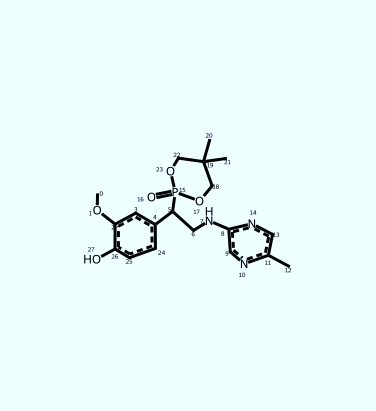 COc1cc(C(CNc2cnc(C)cn2)P2(=O)OCC(C)(C)CO2)ccc1O